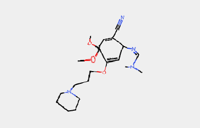 COC1(OC)C=C(C#N)C(/N=C\N(C)C)C=C1OCCCN1CCCCC1